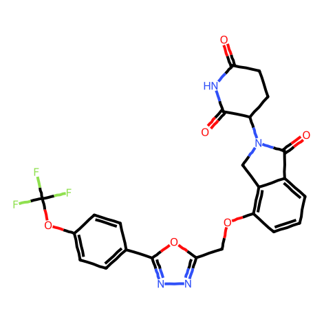 O=C1CCC(N2Cc3c(OCc4nnc(-c5ccc(OC(F)(F)F)cc5)o4)cccc3C2=O)C(=O)N1